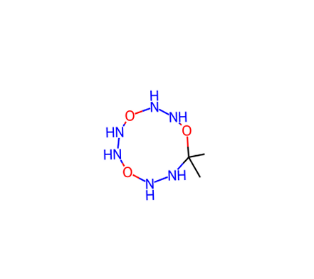 CC1(C)NNONNONNO1